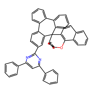 c1ccc(-c2cc(-c3ccccc3)nc(-c3ccc4c(c3)C3(c5ccccc5Oc5c3ccc3ccccc53)c3ccccc3-c3ccccc3-4)n2)cc1